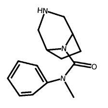 CN(C(=O)N1C2CCC1CNC2)c1ccccc1